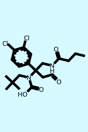 CCCC(=O)NCC(CC=O)(c1ccc(Cl)c(Cl)c1)N(CC(C)(C)C)C(=O)O